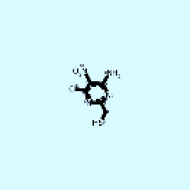 Nc1nc(CS)nc(Cl)c1[N+](=O)[O-]